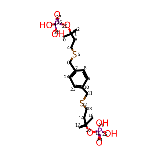 CC(C)(CCSCc1ccc(CSCCC(C)(C)OP(=O)(O)O)cc1)OP(=O)(O)O